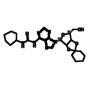 O=C(Nc1ncnc2c1ncn2[C@@H]1O[C@H](CO)C2OC3(CCCCC3)OC21)NC1CCCCC1